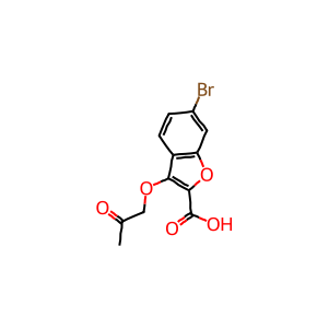 CC(=O)COc1c(C(=O)O)oc2cc(Br)ccc12